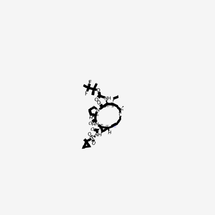 CC[C@@H]1C[C@H](C)CC/C=C\[C@@H]2C[C@@]2(C(=O)NS(=O)(=O)C2(C)CC2)NC(=O)[C@@H]2C[CH]CN2C(=O)[C@H]1NC(=O)OC(C)(C)C(C)(F)F